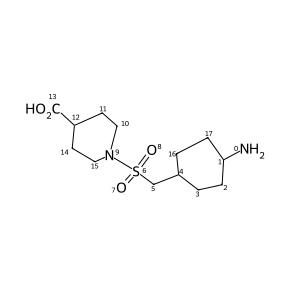 NC1CCC(CS(=O)(=O)N2CCC(C(=O)O)CC2)CC1